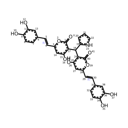 O=c1oc(/C=C/c2ccc(O)c(O)c2)cc(O)c1C(c1ccc[nH]1)c1c(O)cc(/C=C/c2ccc(O)c(O)c2)oc1=O